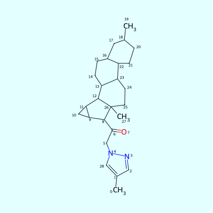 Cc1cnn(CC(=O)C2C3CC3C3C4CCC5CC(C)CCC5C4CCC23C)c1